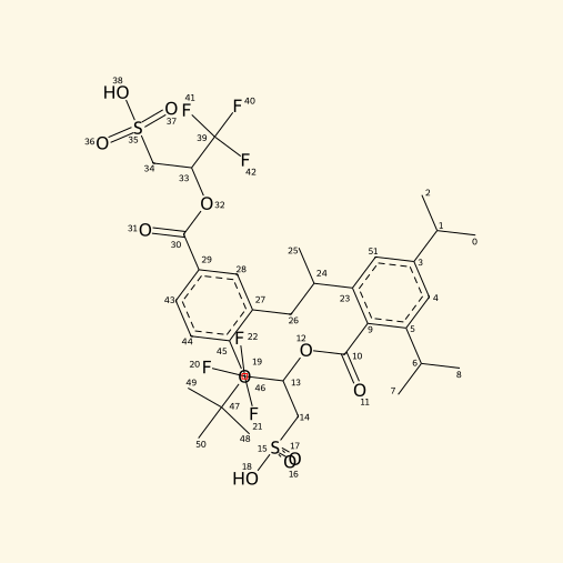 CC(C)c1cc(C(C)C)c(C(=O)OC(CS(=O)(=O)O)C(F)(F)F)c(C(C)Cc2cc(C(=O)OC(CS(=O)(=O)O)C(F)(F)F)ccc2OC(C)(C)C)c1